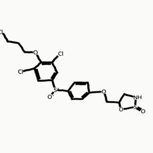 O=S1NCC(COc2ccc([S+]([O-])c3cc(Cl)c(OCCCCl)c(Cl)c3)cc2)O1